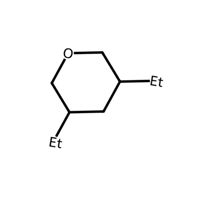 CCC1COCC(CC)C1